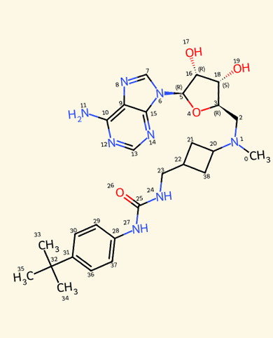 CN(C[C@H]1O[C@@H](n2cnc3c(N)ncnc32)[C@H](O)[C@@H]1O)C1CC(CNC(=O)Nc2ccc(C(C)(C)C)cc2)C1